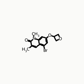 Cc1cc2c(Br)cc(OC3COC3)cc2n(C)c1=O